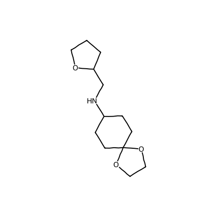 C1COC(CNC2CCC3(CC2)OCCO3)C1